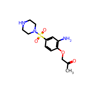 CC(=O)COc1ccc(S(=O)(=O)N2CCNCC2)cc1N